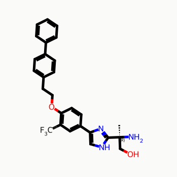 C[C@](N)(CO)c1nc(-c2ccc(OCCc3ccc(-c4ccccc4)cc3)c(C(F)(F)F)c2)c[nH]1